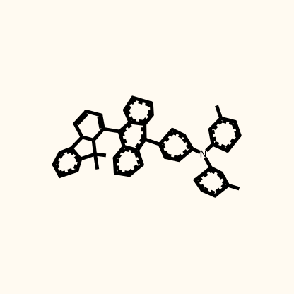 Cc1cccc(N(c2ccc(-c3c4ccccc4c(C4=CC=CC5c6ccccc6C(C)(C)C45)c4ccccc34)cc2)c2cccc(C)c2)c1